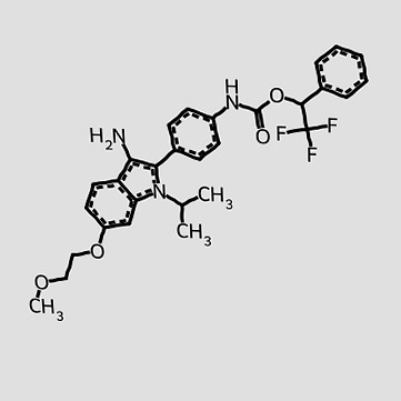 COCCOc1ccc2c(N)c(-c3ccc(NC(=O)OC(c4ccccc4)C(F)(F)F)cc3)n(C(C)C)c2c1